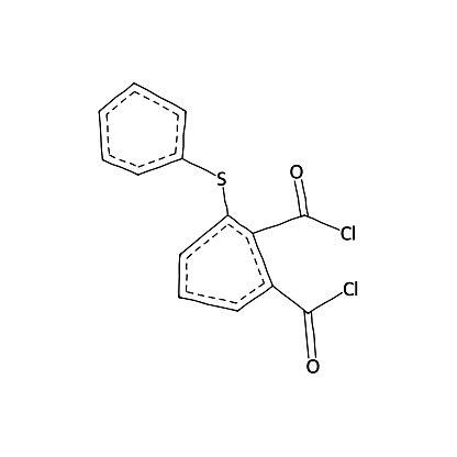 O=C(Cl)c1cccc(Sc2ccccc2)c1C(=O)Cl